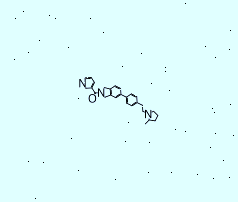 CC1CCCN1CCc1ccc(-c2ccc3c(c2)CN(C(=O)c2cccnc2)C3)cc1